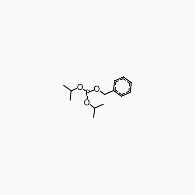 CC(C)OP(OCc1ccccc1)OC(C)C